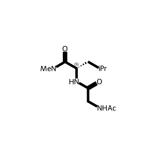 CNC(=O)[C@H](CC(C)C)NC(=O)CNC(C)=O